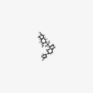 Cn1cc(-c2ccc3nnc(C(F)(F)c4cc5cn(C)nc5cc4F)n3n2)cn1